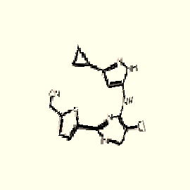 N#CCc1ccc(-c2ncc(Cl)c(Nc3cc(C4CC4)n[nH]3)n2)s1